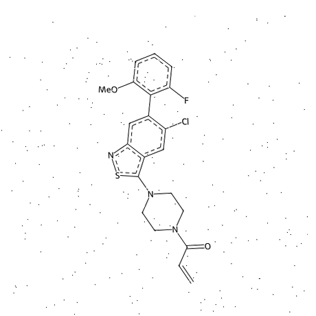 C=CC(=O)N1CCN(c2snc3cc(-c4c(F)cccc4OC)c(Cl)cc23)CC1